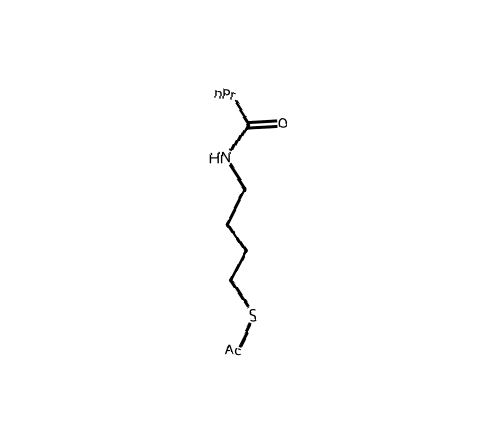 CCCC(=O)NCCCCSC(C)=O